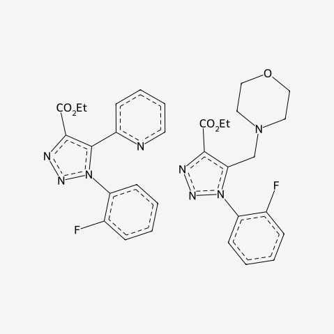 CCOC(=O)c1nnn(-c2ccccc2F)c1-c1ccccn1.CCOC(=O)c1nnn(-c2ccccc2F)c1CN1CCOCC1